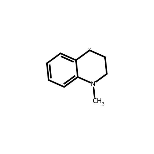 CN1CC[C]c2ccccc21